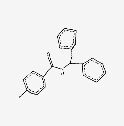 Cc1ccc(C(=O)NC(c2ccccc2)c2ccccc2)cc1